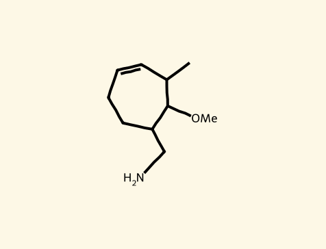 COC1C(C)C=CCCC1CN